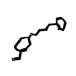 O=[C]c1ccc(OCCCCc2ccccc2)cc1